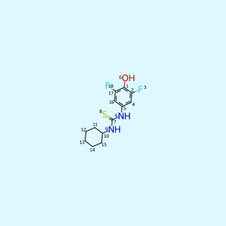 Oc1c(F)cc(NC(=S)NC2CCCCC2)cc1F